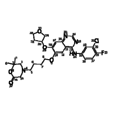 CC1(C)CN(CCCCOc2cc3c(Nc4ccc(F)c(Cl)c4)ncnc3cc2OC2CCOC2)CC(=O)O1